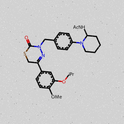 COc1ccc(C2=NN(Cc3ccc(N4CCCCC4NC(C)=O)cc3)C(=O)SC2)cc1OC(C)C